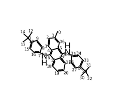 Cc1ccc2c(Nc3ccc(C(C)(C)C)cc3)c3ccccc3c(Nc3ccc(C(C)(C)C)cc3)c2c1